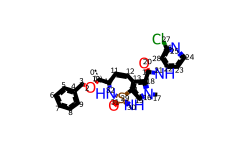 C[C@@H](OCc1ccccc1)C1C=Cc2c(cn(C)c2C(=O)Nc2ccnc(Cl)c2)S(=N)(=O)N1